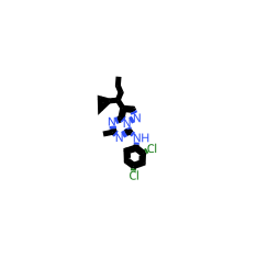 CCCC(c1cnn2c(Nc3ccc(Cl)cc3Cl)nc(C)nc12)C1CC1